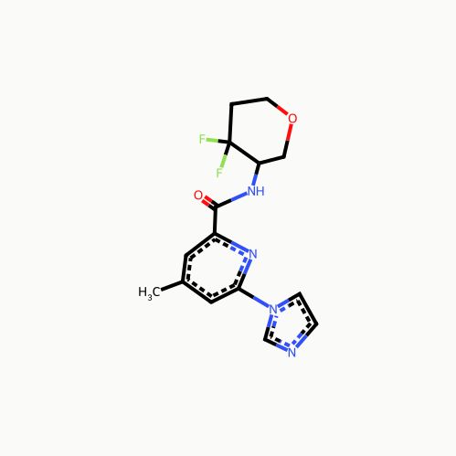 Cc1cc(C(=O)NC2COCCC2(F)F)nc(-n2ccnc2)c1